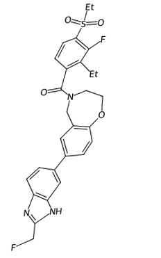 CCc1c(C(=O)N2CCOc3ccc(-c4ccc5nc(CF)[nH]c5c4)cc3C2)ccc(S(=O)(=O)CC)c1F